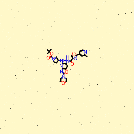 Cc1cc(-c2nc(C(=O)Nc3cc4oc(N5CCOCC5)nc4nc3NC3CCN(C(=O)OC(C)(C)C)C3)co2)ccn1